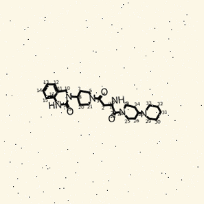 N[C@@H](CC(=O)N1CCC(N2Cc3ccccc3NC2=O)CC1)C(=O)N1CCC(N2CCCCC2)CC1